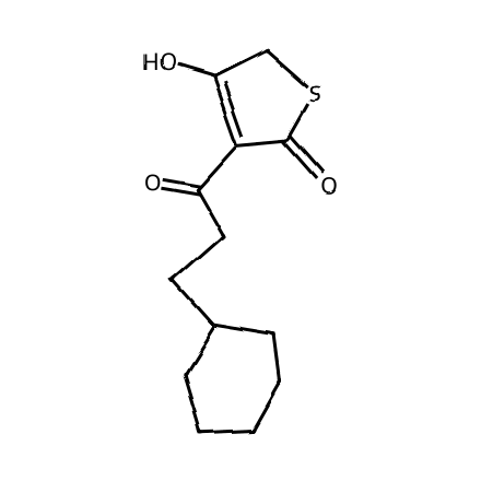 O=C(CCC1CCCCC1)C1=C(O)CSC1=O